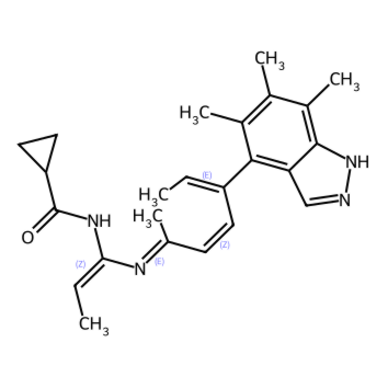 C\C=C(/N=C(C)/C=C\C(=C/C)c1c(C)c(C)c(C)c2[nH]ncc12)NC(=O)C1CC1